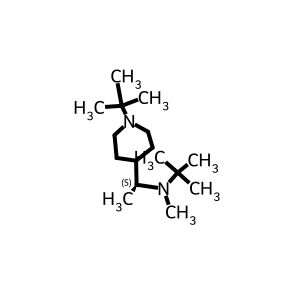 C[C@@H](C1CCN(C(C)(C)C)CC1)N(C)C(C)(C)C